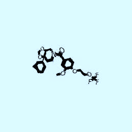 COc1cc(C(=O)N2CC[C@]3(c4ccccc4)OCOC3C2)ccc1OCCOC(F)(F)F